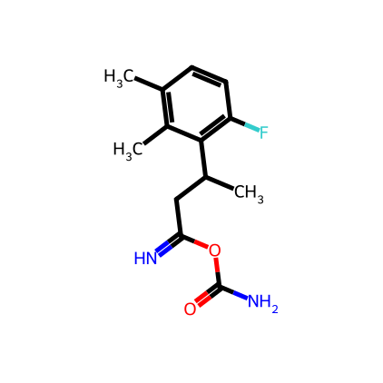 Cc1ccc(F)c(C(C)CC(=N)OC(N)=O)c1C